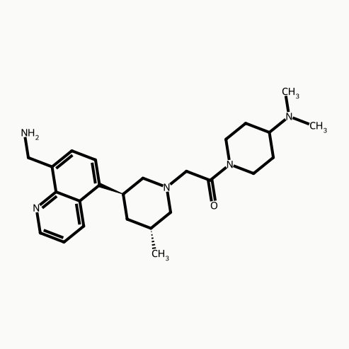 C[C@@H]1C[C@@H](c2ccc(CN)c3ncccc23)CN(CC(=O)N2CCC(N(C)C)CC2)C1